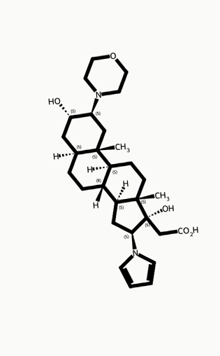 C[C@]12C[C@H](N3CCOCC3)[C@@H](O)C[C@@H]1CC[C@@H]1[C@@H]2CC[C@@]2(C)[C@H]1C[C@H](n1cccc1)[C@]2(O)CC(=O)O